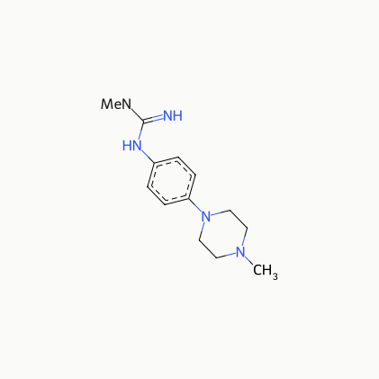 CNC(=N)Nc1ccc(N2CCN(C)CC2)cc1